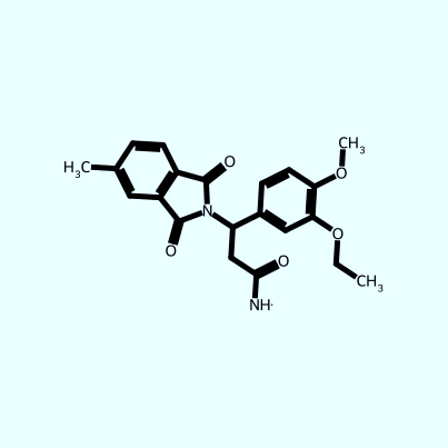 CCOc1cc(C(CC([NH])=O)N2C(=O)c3ccc(C)cc3C2=O)ccc1OC